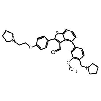 COc1cc(-c2cccc3sc(-c4ccc(OCCN5CCCC5)cc4)c(C=O)c23)ccc1CN1CCCC1